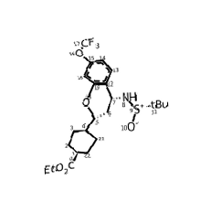 CCOC(=O)[C@H]1CC[C@@H]([C@H]2C[C@@H](N[S@@+]([O-])C(C)(C)C)c3ccc(OC(F)(F)F)cc3O2)CC1